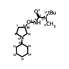 CN(C(=O)NO[C@@H]1CCN(C2CCCCC2)C1)C(C)(C)C